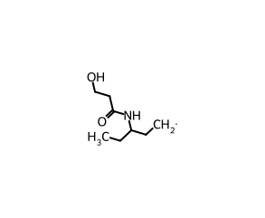 [CH2]CC(CC)NC(=O)CCO